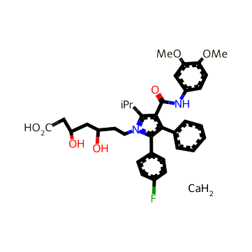 COc1ccc(NC(=O)c2c(-c3ccccc3)c(-c3ccc(F)cc3)n(CCC(O)CC(O)CC(=O)O)c2C(C)C)cc1OC.[CaH2]